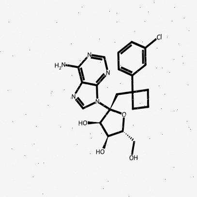 Nc1ncnc2c1ncn2[C@]1(CC2(c3cccc(Cl)c3)CCC2)O[C@H](CO)[C@@H](O)[C@H]1O